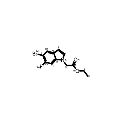 CCOC(=O)Cn1ccc2cc(Br)c(F)cc21